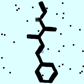 C=CNC(=O)C(=O)/C=C/c1ccccc1